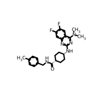 Cc1ccc(CNC(=O)[C@H]2CC[C@@H](Nc3nc(N(C)C)c4cc(F)c(F)cc4n3)CC2)cc1